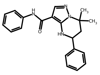 CC1(C)CC(c2ccccc2)Nc2c(C(=O)Nc3ccccc3)cnn21